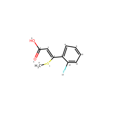 CSC(=CC(=O)O)c1ccccc1F